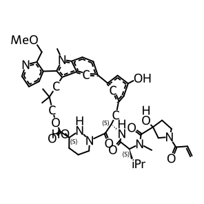 C=CC(=O)N1CCC(O)(C(=O)N(C)[C@H](C(=O)N[C@H]2Cc3cc(O)cc(c3)-c3ccc4c(c3)c(c(-c3cccnc3COC)n4C)CC(C)(C)COC(=O)[C@@]3(O)CCCN(N3)C2=O)C(C)C)C1